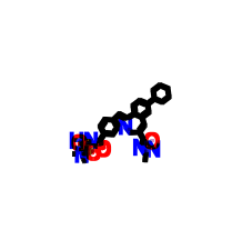 Cc1noc(C2=Cc3cc(C4CCCCC4)ccc3-c3cc4ccc(C(=O)NS(=O)(=O)N(C)C)cc4n3C2)n1